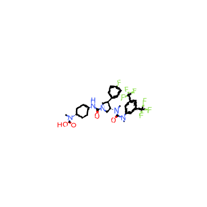 CN(C(=O)N(C)[C@@H]1CN(C(=O)N[C@H]2CC[C@H](N(C)C(=O)O)CC2)C[C@H]1c1ccc(F)cc1)c1cc(C(F)(F)F)cc(C(F)(F)F)c1